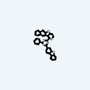 c1ccc(-c2nc(-c3ccc4c(c3)oc3ccccc34)nc(-c3nccc4oc5cc6ccccc6cc5c34)n2)cc1